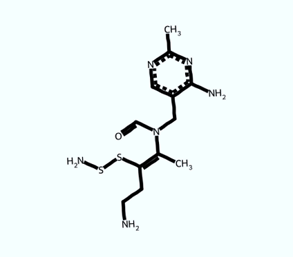 C/C(=C(\CCN)SSN)N(C=O)Cc1cnc(C)nc1N